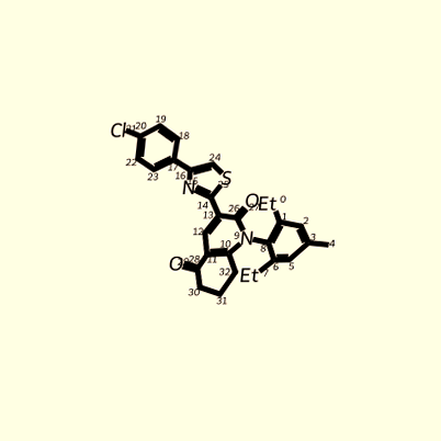 CCc1cc(C)cc(CC)c1-n1c2c(cc(-c3nc(-c4ccc(Cl)cc4)cs3)c1=O)C(=O)CCC2